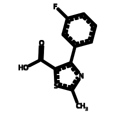 Cc1nc(-c2cccc(F)c2)c(C(=O)O)s1